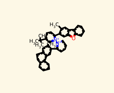 Cc1cc2c(cc1-c1ccc(C(C)(C)C)c[n+]1-[n+]1ccccc1-c1cc3c(ccc4ccccc43)cc1C)oc1ccccc12